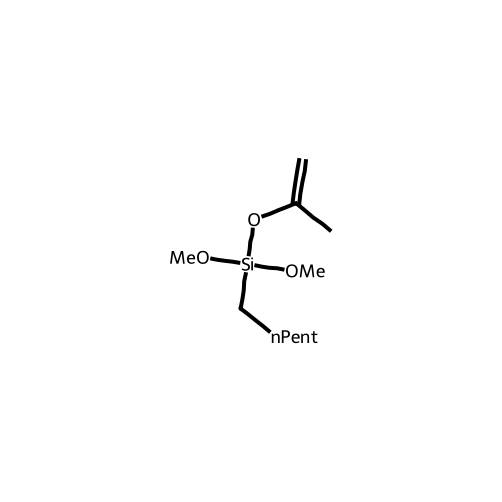 C=C(C)O[Si](CCCCCC)(OC)OC